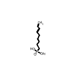 C=C/C=C/CCCCCP(=O)(O)O